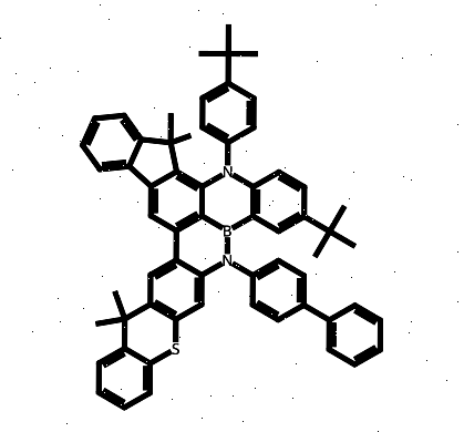 CC(C)(C)c1ccc(N2c3ccc(C(C)(C)C)cc3B3c4c(cc5c(c42)C(C)(C)c2ccccc2-5)-c2cc4c(cc2N3c2ccc(-c3ccccc3)cc2)Sc2ccccc2C4(C)C)cc1